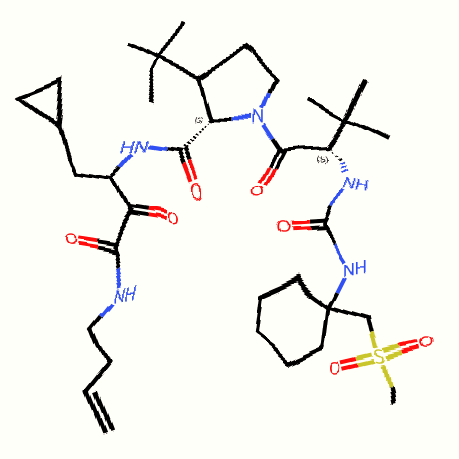 C=CCCNC(=O)C(=O)C(CC1CC1)NC(=O)[C@@H]1C(C(C)(C)C)CCN1C(=O)[C@@H](NC(=O)NC1(CS(C)(=O)=O)CCCCC1)C(C)(C)C